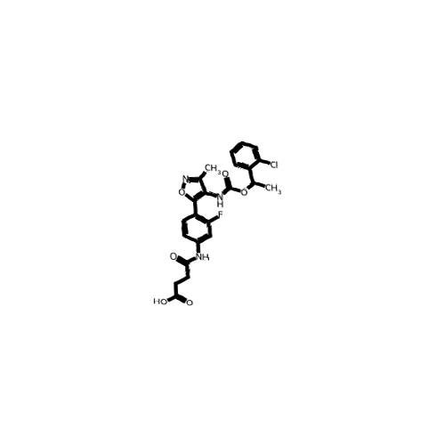 Cc1noc(-c2ccc(NC(=O)CCC(=O)O)cc2F)c1NC(=O)OC(C)c1ccccc1Cl